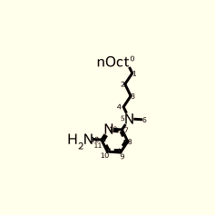 CCCCCCCCCCCCN(C)c1cccc(N)n1